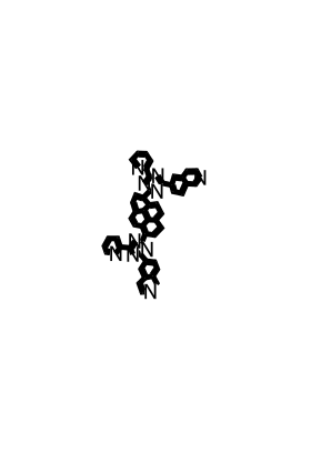 c1ccc(-c2nc(-c3ccc4cnccc4c3)nc(-c3ccc4ccc5c(-c6nc(-c7ccc8cnccc8c7)nc(-c7ccccn7)n6)ccc6ccc3c4c65)n2)nc1